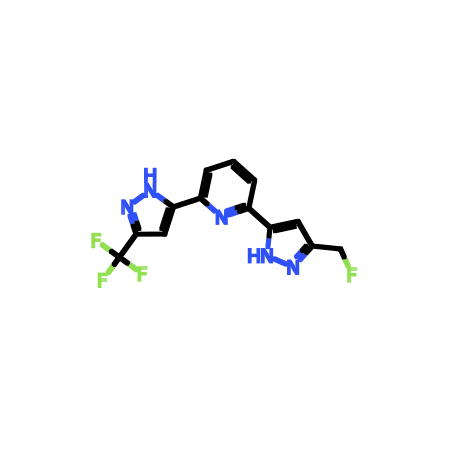 FCc1cc(-c2cccc(-c3cc(C(F)(F)F)n[nH]3)n2)[nH]n1